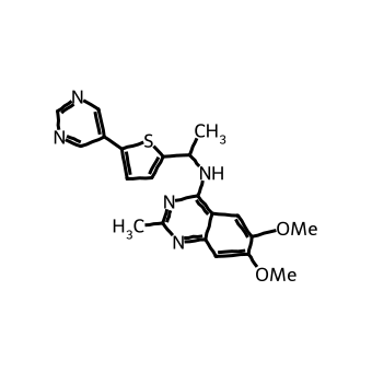 COc1cc2nc(C)nc(NC(C)c3ccc(-c4cncnc4)s3)c2cc1OC